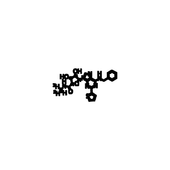 [2H]C([2H])([2H])NC(=O)[C@H]1O[C@@H](n2cnc3c(NCc4ccccc4)nc(-c4cccs4)nc32)[C@H](O)[C@@H]1O